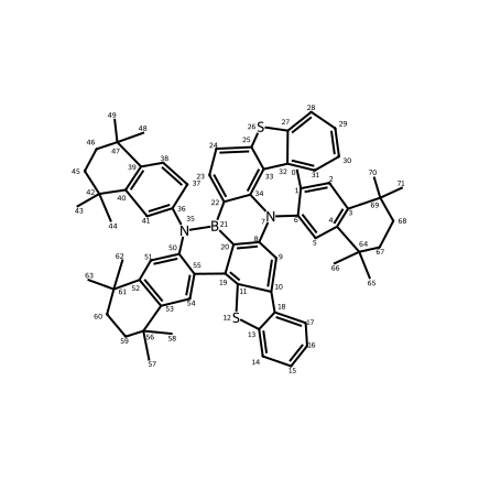 Cc1cc2c(cc1N1c3cc4c(sc5ccccc54)c4c3B(c3ccc5sc6ccccc6c5c31)N(c1ccc3c(c1)C(C)(C)CCC3(C)C)c1cc3c(cc1-4)C(C)(C)CCC3(C)C)C(C)(C)CCC2(C)C